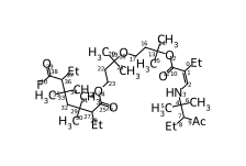 CC/C(=C/NC(C)(C)C(CC)C(C)=O)C(=O)OC(C)(C)CCOC(C)(C)CCOC(=O)C(CC)C(C)(C)CC(C)(C)C(CC)C(=O)F